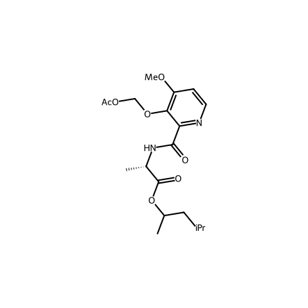 COc1ccnc(C(=O)N[C@@H](C)C(=O)OC(C)CC(C)C)c1OCOC(C)=O